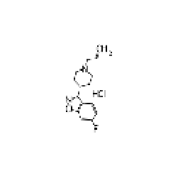 C=CCN1CCC(c2noc3cc(F)ccc23)CC1.Cl